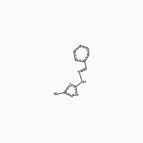 CC(C)(C)c1nnc(N/N=C/c2ccccc2)s1